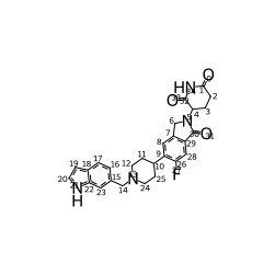 O=C1CCC(N2Cc3cc(C4CCN(Cc5ccc6cc[nH]c6c5)CC4)c(F)cc3C2=O)C(=O)N1